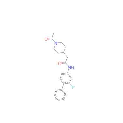 CC(=O)N1CCC(CC(=O)Nc2ccc(-c3ccccc3)c(F)c2)CC1